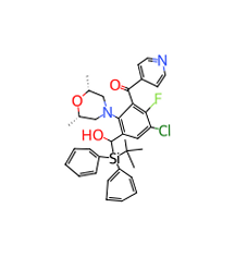 C[C@@H]1CN(c2c(C(O)[Si](c3ccccc3)(c3ccccc3)C(C)(C)C)cc(Cl)c(F)c2C(=O)c2ccncc2)C[C@H](C)O1